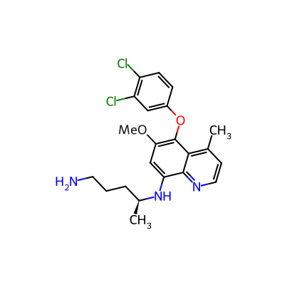 COc1cc(N[C@@H](C)CCCN)c2nccc(C)c2c1Oc1ccc(Cl)c(Cl)c1